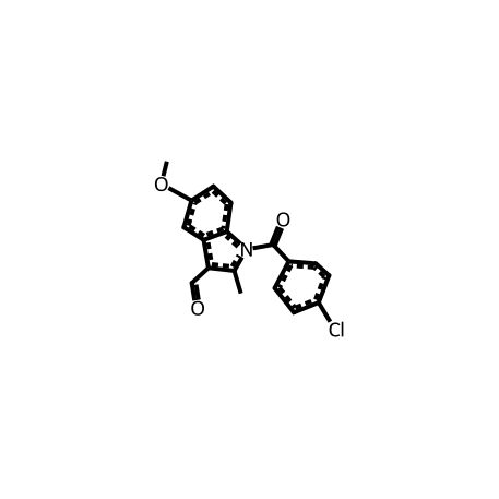 COc1ccc2c(c1)c(C=O)c(C)n2C(=O)c1ccc(Cl)cc1